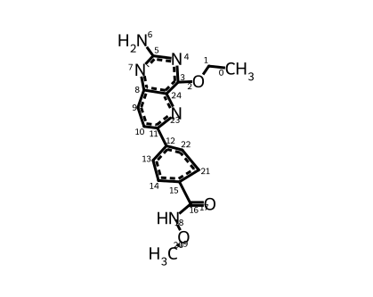 CCOc1nc(N)nc2ccc(-c3ccc(C(=O)NOC)cc3)nc12